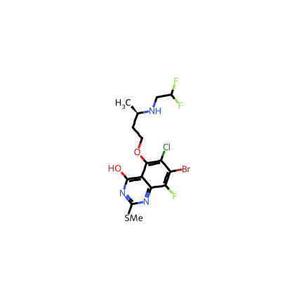 CSc1nc(O)c2c(OCC[C@@H](C)NCC(F)F)c(Cl)c(Br)c(F)c2n1